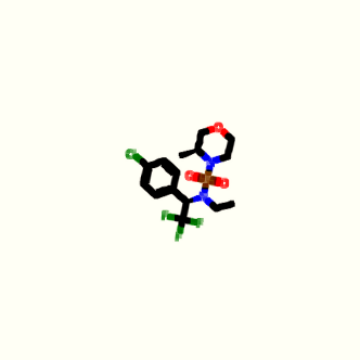 CCN([C@H](c1ccc(Cl)cc1)C(F)(F)F)S(=O)(=O)N1CCOC[C@@H]1C